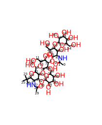 CC(=O)NC1C(OC2C(O)C(CO)OC(OC3C(CO)OC(C(C)(C)C)C(NC(C)=O)C3OC3OC(C)C(O)C(O)C3O)C2O)OC(CO)C(OC2OC(CO)C(O)C(O)C2O)C1O